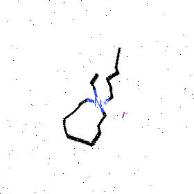 CCCC[N+]1(CC)CCCCCC1.[I-]